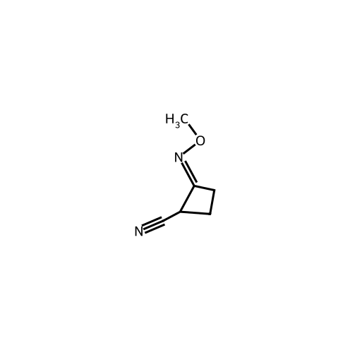 CON=C1CCC1C#N